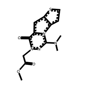 COC(=O)Cn1nc(N(C)C)n2c(cc3sccc32)c1=O